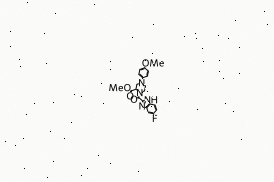 COC(=O)C1CN(c2ccc(OC)cc2)CCN1C(=O)c1nc2cc(F)ccc2[nH]1